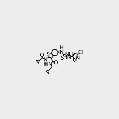 Cn1nc(Cl)cc1NNC(=S)N[C@H]1CCc2sc(NC(=O)C3CC3)c(C(=O)NCC3CC3)c2C1